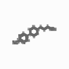 CCC(C)CCC[C@H]1CC[C@H](c2cnc(C#N)nc2)CC1